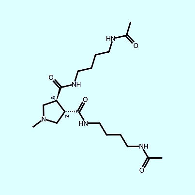 CC(=O)NCCCCNC(=O)[C@@H]1CN(C)C[C@H]1C(=O)NCCCCNC(C)=O